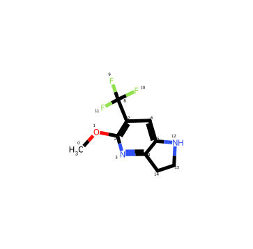 COc1nc2c(cc1C(F)(F)F)NCC2